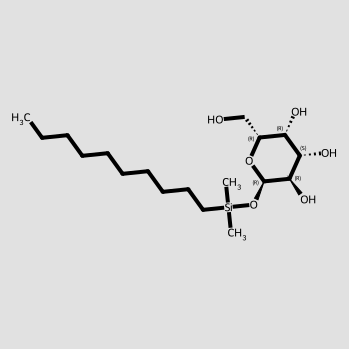 CCCCCCCCCC[Si](C)(C)O[C@H]1O[C@H](CO)[C@H](O)[C@H](O)[C@H]1O